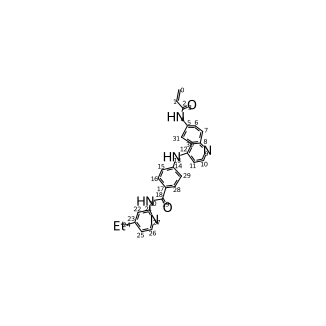 C=CC(=O)Nc1ccc2nccc(Nc3ccc(C(=O)Nc4cc(CC)ccn4)cc3)c2c1